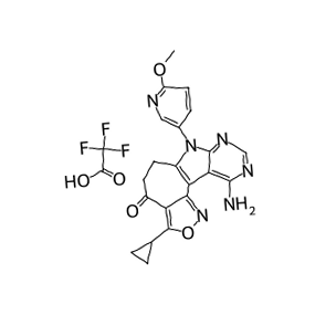 COc1ccc(-n2c3c(c4c(N)ncnc42)-c2noc(C4CC4)c2C(=O)CC3)cn1.O=C(O)C(F)(F)F